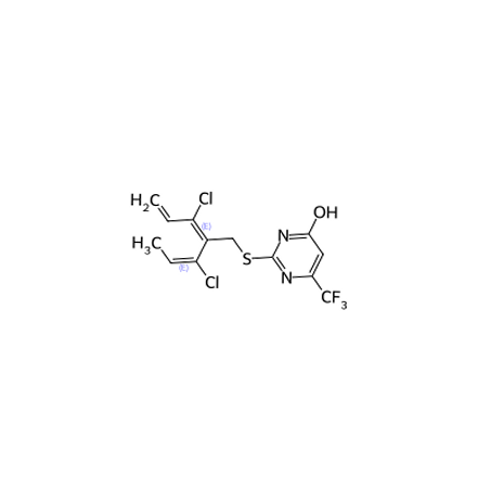 C=C/C(Cl)=C(CSc1nc(O)cc(C(F)(F)F)n1)\C(Cl)=C/C